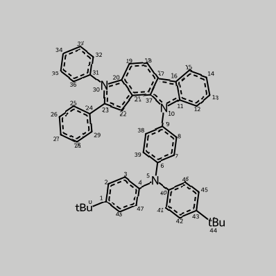 CC(C)(C)c1ccc(N(c2ccc(-n3c4ccccc4c4ccc5c(cc(-c6ccccc6)n5-c5ccccc5)c43)cc2)c2ccc(C(C)(C)C)cc2)cc1